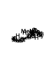 CNC(=O)[C@@](C)(C(=O)NOC1CCCCO1)N(C)C(=O)c1ccc(C#Cc2ccc(CNCc3ccco3)cc2)cc1